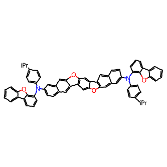 CC(C)c1ccc(N(c2ccc3cc4c(cc3c2)oc2cc3c(cc24)oc2cc4cc(N(c5ccc(C(C)C)cc5)c5cccc6c5oc5ccccc56)ccc4cc23)c2cccc3c2oc2ccccc23)cc1